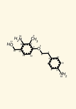 Cc1c(OCCc2ccc(N)cc2)ccc(CO)c1N